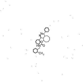 Cc1ccccc1CNC(=O)OC1CCCCCC2C(c3ccccc3)=NN=C(c3ccccc3)C12